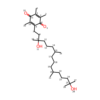 CC1=C(C)C(=O)C(CCC(C)(O)CCCC(C)CCCC(C)CCCC(C)(C)O)=C(C)C1=O